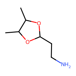 CC1OC(CCN)OC1C